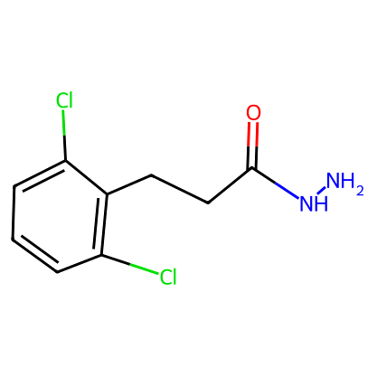 NNC(=O)CCc1c(Cl)cccc1Cl